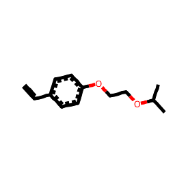 C=Cc1ccc(OCCOC(C)C)cc1